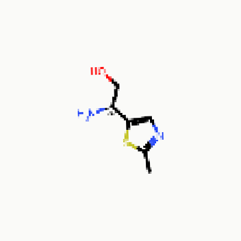 Cc1ncc([C@@H](N)CO)s1